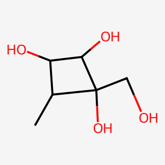 CC1C(O)C(O)C1(O)CO